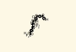 CN(C(=O)C(F)(F)F)c1ccc(-n2cc(-c3cnc(C(=O)Nc4ccc(C(=O)N5CCN(C(=O)C6CCNCC6)CC5)c(Cl)c4)n3C)c(C(F)(F)F)n2)nc1